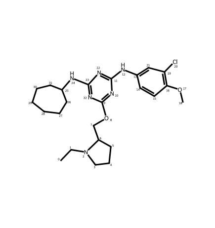 CCN1CCCC1COc1nc(Nc2ccc(OC)c(Cl)c2)nc(NC2CCCCCC2)n1